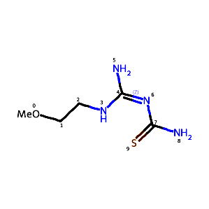 COCCN/C(N)=N\C(N)=S